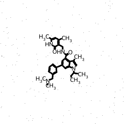 CCC(C)n1cc(C)c2c(C(=O)NCc3c(C)cc(C)[nH]c3=O)cc(-c3cccc(CN(C)C)c3)cc21